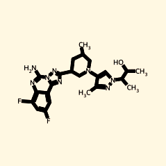 Cc1nn(C(C)C(C)O)cc1N1CC(C)CC(c2nc3c4cc(F)cc(F)c4nc(N)n3n2)C1